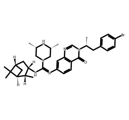 C[C@H]1[C@@H](NC(=Nc2ccc3c(=O)n([C@H](C)Cc4ccc(Br)cc4)cnc3c2)N2C[C@@H](C)N[C@@H](C)C2)C[C@@H]2C[C@@H]1C2(C)C